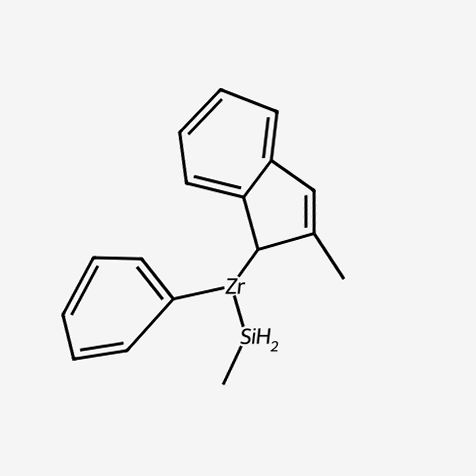 C[SiH2][Zr]([c]1ccccc1)[CH]1C(C)=Cc2ccccc21